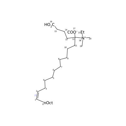 CCCCCCCC/C=C\CCCCCCCCCC(CCCC(=O)O)(C(=O)[O-])[N+](C)(C)CC